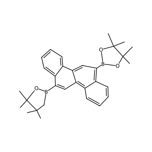 CC1(C)CB(c2cc3c4ccccc4c(B4OC(C)(C)C(C)(C)O4)cc3c3ccccc23)OC1(C)C